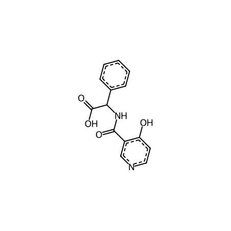 O=C(NC(C(=O)O)c1ccccc1)c1cnccc1O